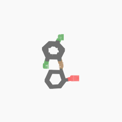 O[C@H]1CCCC[C@@H]1Sc1cc(Cl)ccc1Cl